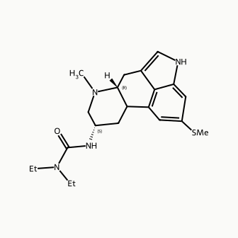 [C]Sc1cc2c3c(c[nH]c3c1)C[C@@H]1C2C[C@H](NC(=O)N(CC)CC)CN1C